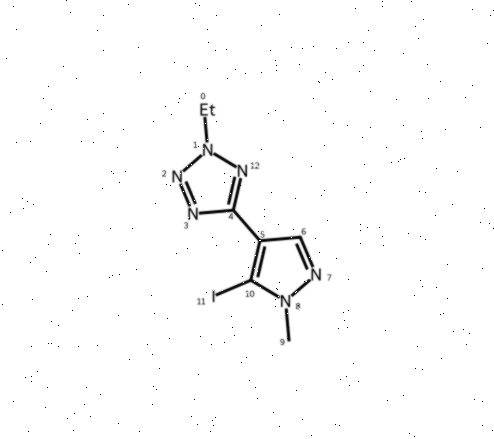 CCn1nnc(-c2cnn(C)c2I)n1